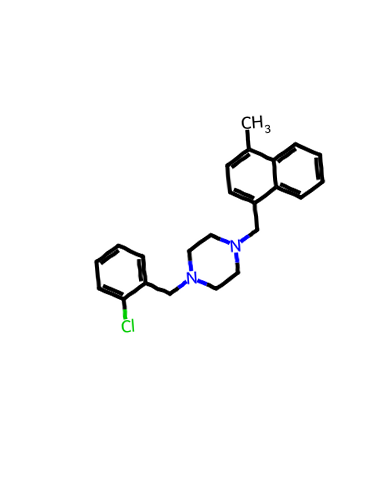 Cc1ccc(CN2CCN(Cc3ccccc3Cl)CC2)c2ccccc12